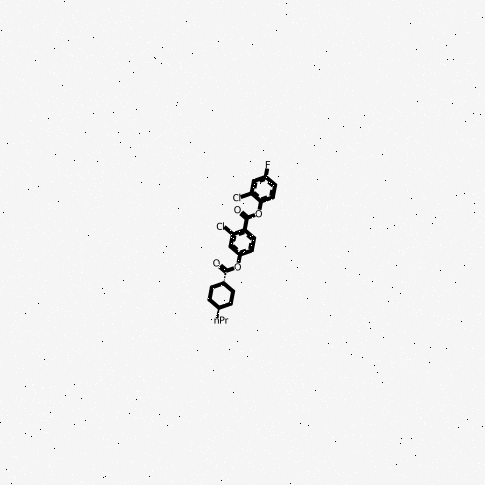 CCC[C@H]1CC[C@H](C(=O)Oc2ccc(C(=O)Oc3ccc(F)cc3Cl)c(Cl)c2)CC1